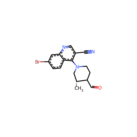 C[C@@H]1CN(c2c(C#N)cnc3cc(Br)ccc23)CCC1C=O